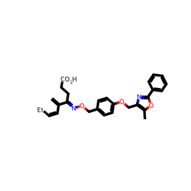 C=C(/C=C\CC)/C(CCC(=O)O)=N/OCc1ccc(OCc2nc(-c3ccccc3)oc2C)cc1